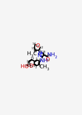 Cc1cc2c(cc1Nc1nn(C3COCC[C@@H]3C)cc1C(N)=O)C=CB(O)O2